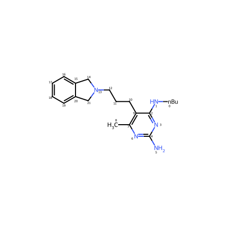 CCCCNc1nc(N)nc(C)c1CCCN1Cc2ccccc2C1